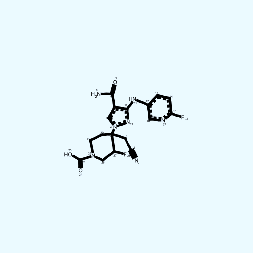 N#CCC1(n2cc(C(N)=O)c(Nc3ccc(F)nc3)n2)CCN(C(=O)O)CC1F